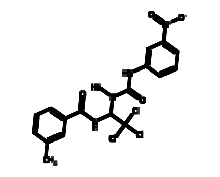 Cc1cccc(C(=O)NC(N(S)C(=O)Nc2cccc([N+](=O)[O-])c2)C(Cl)(Cl)Cl)c1